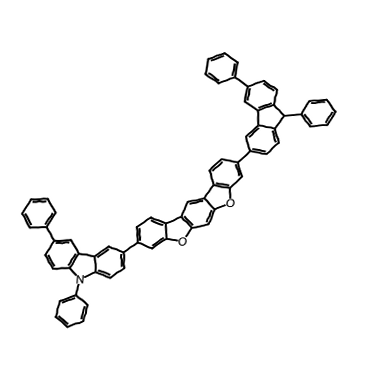 c1ccc(-c2ccc3c(c2)-c2cc(-c4ccc5c(c4)oc4cc6oc7cc(-c8ccc9c(c8)c8cc(-c%10ccccc%10)ccc8n9-c8ccccc8)ccc7c6cc45)ccc2C3c2ccccc2)cc1